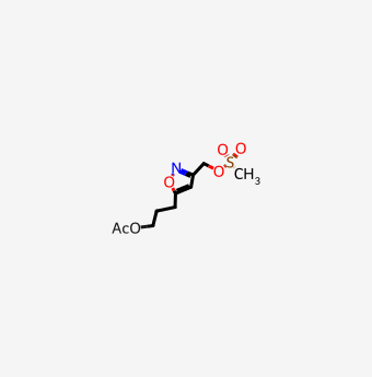 CC(=O)OCCCc1cc(COS(C)(=O)=O)no1